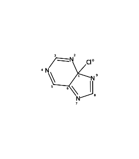 ClC12N=CN=CC1=NC=N2